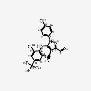 N#Cc1c(C=S)nn(-c2ccc(Cl)cc2)c1Nc1c(Cl)cc(C(F)(F)F)cc1Cl